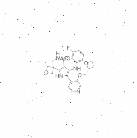 COc1c(F)cccc1Nc1c(-c2ccncc2OC[C@H]2CCO2)[nH]c2c1C(=O)NCC21COC1